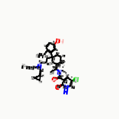 CCCc1ccc(O)cc1C1(CCCN(CC2CC2)C(C)CCC)CC[C@H](C)C(C(C)N(C)C(=O)c2cc(Cl)c[nH]c2=O)C1